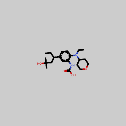 CCC(CC(C)(C)O)c1ccc(N(CC)C2CCOCC2)c(NC(=O)O)c1